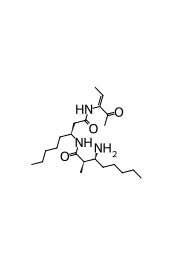 CC=C(NC(=O)C[C@H](CCCCC)NC(=O)[C@H](C)[C@@H](N)CCCCC)C(C)=O